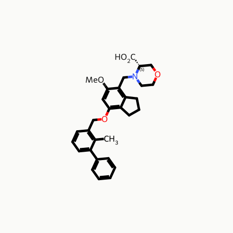 COc1cc(OCc2cccc(-c3ccccc3)c2C)c2c(c1CN1CCOC[C@H]1C(=O)O)CCC2